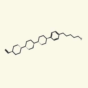 C=C[C@H]1CC[C@H]([C@H]2CC[C@H]([C@H]3CC[C@H](c4ccc(CCCCCF)cc4)CC3)CC2)CC1